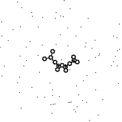 c1ccc(-c2cc(-c3ccccc3)cc(-c3ccc(-n4c5ccccc5c5c6c7ccccc7n(-c7ccc(-n8c9ccccc9c9ccccc98)cc7)c6ccc54)cc3)c2)cc1